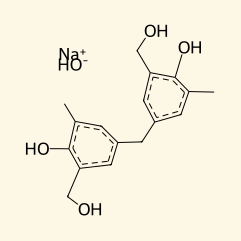 Cc1cc(Cc2cc(C)c(O)c(CO)c2)cc(CO)c1O.[Na+].[OH-]